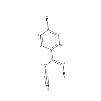 N#CS/C(=C\Br)c1ccc(F)cc1